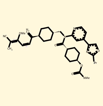 C=C(/C=C\C(OC)=C(/C)C#N)[C@H]1CC[C@H](CN(c2cc(-c3coc(C(C)C)n3)ccn2)C(=O)[C@H]2CC[C@H](OC(=O)NC)CC2)CC1